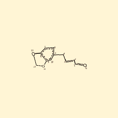 O=CC=CCc1ccc2c(c1)OCO2